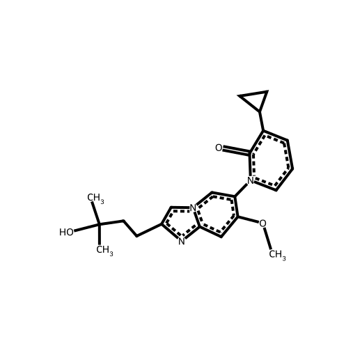 COc1cc2nc(CCC(C)(C)O)cn2cc1-n1cccc(C2CC2)c1=O